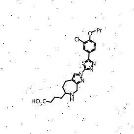 CC(C)Oc1ccc(-c2nnc(-n3cc4c(n3)CNC(CCCC(=O)O)CC4)s2)cc1Cl